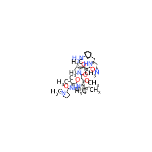 CC[C@H](C)[C@@H]([C@@H](CC(=O)N1CCC[C@H]1[C@H](OC)[C@@H](C)C(=O)N[C@H](CC#N)Cc1cccc(N)c1)OC)N(C)C(=O)[C@@H](NC(=O)C1CCCN1C)C(C)C